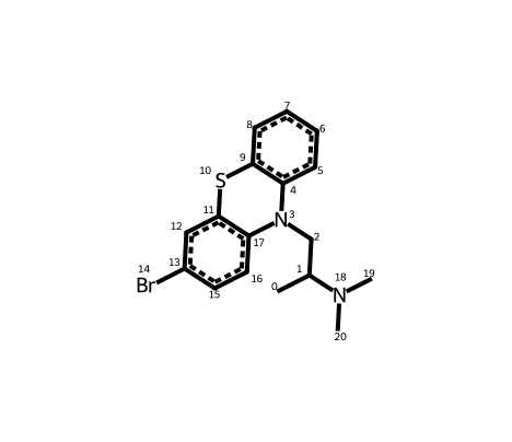 CC(CN1c2ccccc2Sc2cc(Br)ccc21)N(C)C